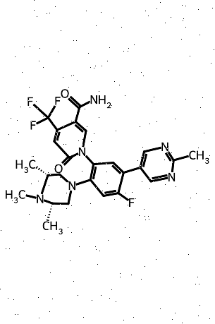 Cc1ncc(-c2cc(-n3cc(C(N)=O)c(C(F)(F)F)cc3=O)c(N3C[C@@H](C)N(C)[C@@H](C)C3)cc2F)cn1